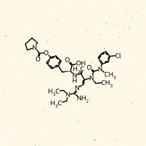 C=C(N[C@@H](Cc1ccc(OC(=O)N2CCCC2)cc1)C(=O)O)/C(=C\N=C(/N)N(CC)CC)N(CC)C(=O)N(C)c1cccc(Cl)c1